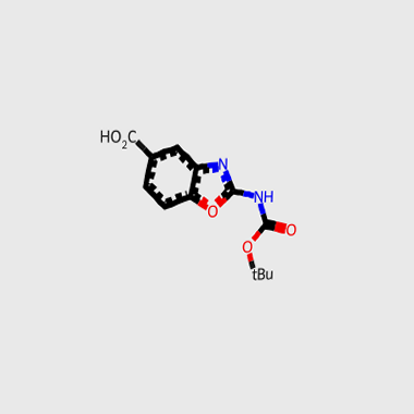 CC(C)(C)OC(=O)Nc1nc2cc(C(=O)O)ccc2o1